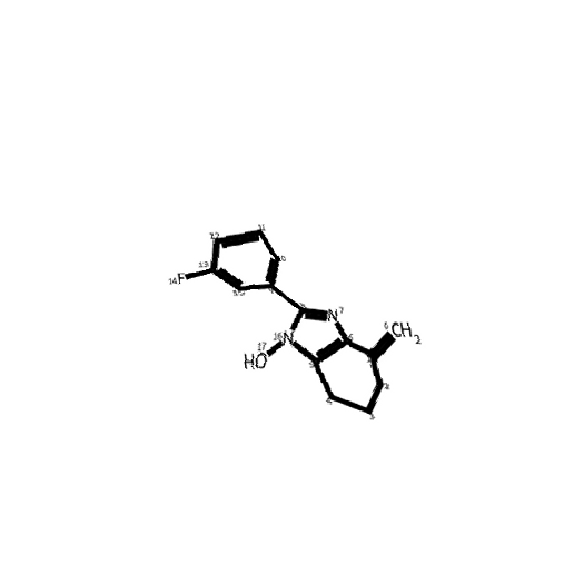 C=C1CCCc2c1nc(-c1cccc(F)c1)n2O